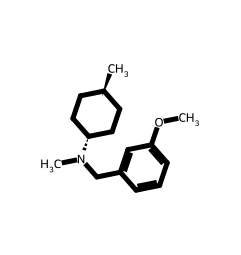 COc1cccc(CN(C)[C@H]2CC[C@H](C)CC2)c1